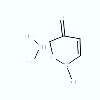 O=C1C=CN(Cl)OC1.OBO